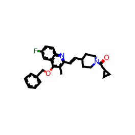 Cc1c(/C=C/C2CCN(C(=O)C3CC3)CC2)nc2ccc(F)cc2c1OCc1ccccc1